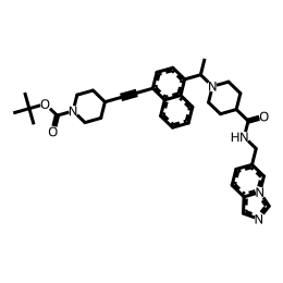 CC(c1ccc(C#CC2CCN(C(=O)OC(C)(C)C)CC2)c2ccccc12)N1CCC(C(=O)NCc2ccc3cncn3c2)CC1